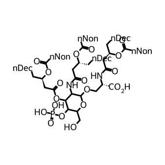 CCCCCCCCCCC[C@H](CC(=O)NC1C(OC[C@H](NC(=O)C[C@@H](CCCCCCCCCCC)OC(=O)CCCCCCCCC)C(=O)O)OC(CO)C(OP(=O)(O)O)C1OC(=O)C[C@@H](CCCCCCCCCCC)OC(=O)CCCCCCCCC)OC(=O)CCCCCCCCC